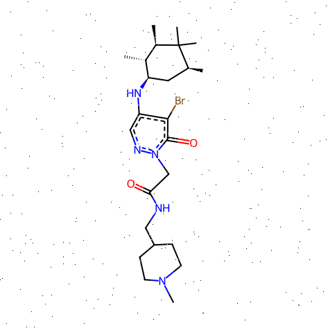 C[C@@H]1[C@@H](C)C(C)(C)[C@@H](C)C[C@H]1Nc1cnn(CC(=O)NCC2CCN(C)CC2)c(=O)c1Br